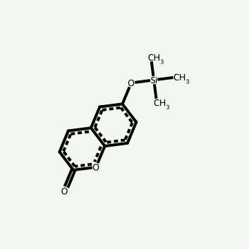 C[Si](C)(C)Oc1ccc2oc(=O)ccc2c1